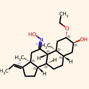 C/C=C1\CC[C@H]2[C@@H]3CC[C@H]4C[C@H](O)[C@@H](OCC)C[C@]4(C)[C@H]3/C(=N/O)C[C@]12C